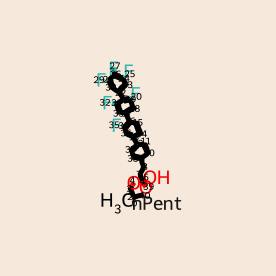 CCCCCC1(C)COC(O)(CCc2ccc(-c3ccc(-c4cc(F)c(-c5cc(F)c(F)c(F)c5)c(F)c4)c(F)c3)cc2)OC1